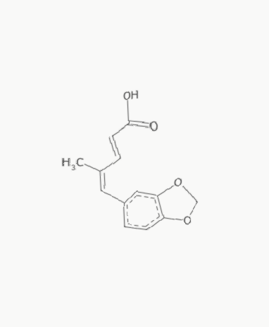 CC(C=CC(=O)O)=Cc1ccc2c(c1)OCO2